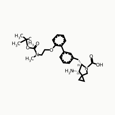 CN(CCOc1ccccc1-c1cccc(C[C@H]2[C@@H](N)C3(CC3)CN2C(=O)O)c1)C(=O)OC(C)(C)C